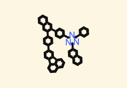 c1ccc(-c2nc(-c3ccc(-c4cc5ccccc5cc4-c4ccc(-c5ccc6c(c5)-c5cccc7cccc-6c57)cc4)cc3)nc(-c3ccc4ccccc4c3)n2)cc1